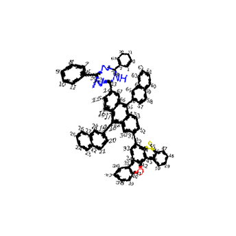 C1=CC(C2N=C(c3ccccc3)N=C(c3ccc4c(-c5ccc6ccccc6c5)c5cc(-c6cc7c8ccccc8oc7c7c6sc6ccccc67)ccc5c(-c5ccc6ccccc6c5)c4c3)N2)=CCC1